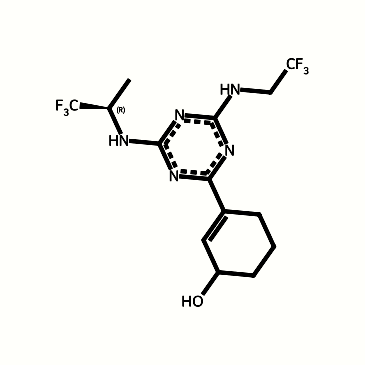 C[C@@H](Nc1nc(NCC(F)(F)F)nc(C2=CC(O)CCC2)n1)C(F)(F)F